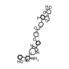 Nc1nnc(-c2ccccc2O)cc1N1CC[C@@H]2CC3(c4cccc(OC5CCN(C(=O)CN6CCC(c7c(F)ccc8c7OCCN8C7CCC(=O)NC7=O)CC6)CC5)c4)C[C@H](CC1)C23